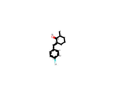 CC1CCC/C(=C\c2ccc(F)cc2)C1=O